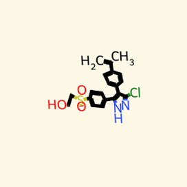 C=C(C)c1ccc(-c2c(Cl)n[nH]c2-c2ccc(S(=O)(=O)CCO)cc2)cc1